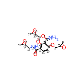 NC(=O)c1c(OCC2CO2)ccc(C(=O)NCC2CO2)c1OCC1CO1